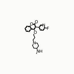 CNC1CCN(CCCOc2c(-c3ccc(F)nc3)c(=O)oc3ccccc23)CC1